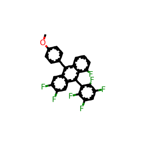 COc1ccc(-c2c3cc(F)c(F)cc3c(-c3c(F)c(F)cc(F)c3F)c3c(F)cccc23)cc1